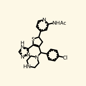 CC(=O)Nc1cc(C2CC(C(c3ccc(Cl)cc3)N3CCNCC3)=C(c3nnc[nH]3)S2)ccn1